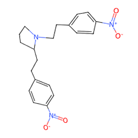 O=[N+]([O-])c1ccc(CCC2CCCN2CCc2ccc([N+](=O)[O-])cc2)cc1